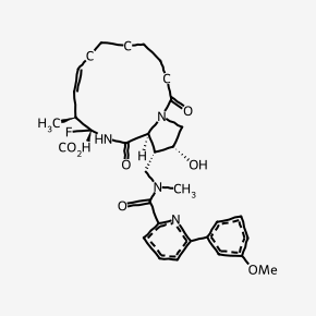 COc1cccc(-c2cccc(C(=O)N(C)C[C@@H]3[C@H]4C(=O)N[C@@](F)(C(=O)O)[C@@H](C)/C=C\CCCCCCC(=O)N4C[C@@H]3O)n2)c1